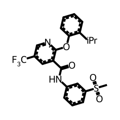 CC(C)c1ccccc1Oc1ncc(C(F)(F)F)cc1C(=O)Nc1cccc(S(C)(=O)=O)c1